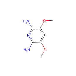 COc1cc(OC)c(N)nc1N